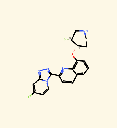 Fc1ccn2c(-c3ccc4cccc(O[C@H]5CCNC[C@H]5F)c4n3)nnc2c1